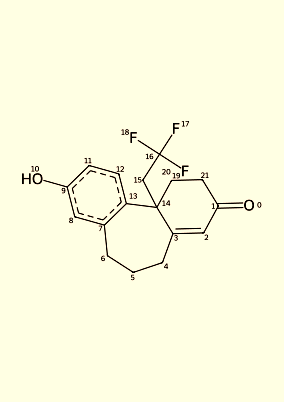 O=C1C=C2CCCc3cc(O)ccc3C2(CC(F)(F)F)CC1